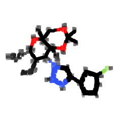 CC(=O)O[C@@H]1[C@@H](n2cc(-c3cccc(F)c3)nn2)[C@H]2OC(C)(C)OC[C@H]2O[C@H]1C(=O)O